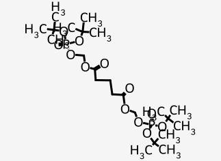 CC(C)(C)OP(=O)(OCOC(=O)CCCC(=O)OCOP(=O)(OC(C)(C)C)OC(C)(C)C)OC(C)(C)C